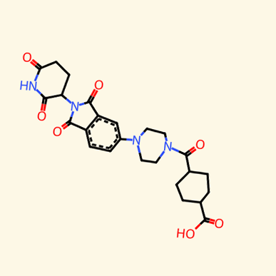 O=C1CCC(N2C(=O)c3ccc(N4CCN(C(=O)C5CCC(C(=O)O)CC5)CC4)cc3C2=O)C(=O)N1